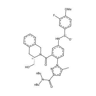 CCCCN(CCCC)C(=O)c1cc(C)n(-c2ccc(N[S+]([O-])c3ccc(OC)c(F)c3)cc2C(=O)N2Cc3ccccc3C[C@H]2CO)n1